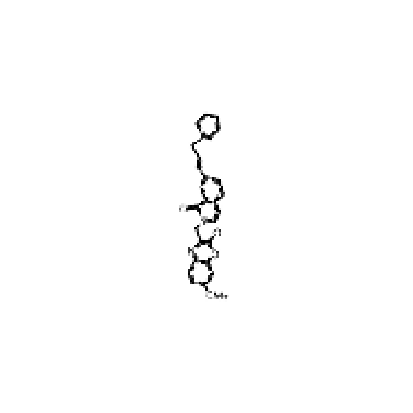 COc1ccc2nc(Cn3ccc4ccc(C#CCc5ccccc5)cc4c3=O)c(=O)oc2c1